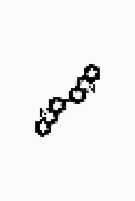 c1ccc2nc3ccc(-c4ccc5nc6ccccc6cc5c4)cc3cc2c1